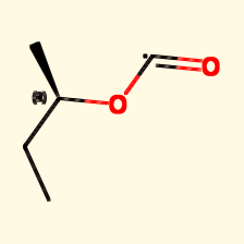 CC[C@@H](C)O[C]=O